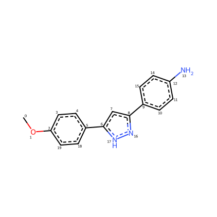 COc1ccc(-c2cc(-c3ccc(N)cc3)n[nH]2)cc1